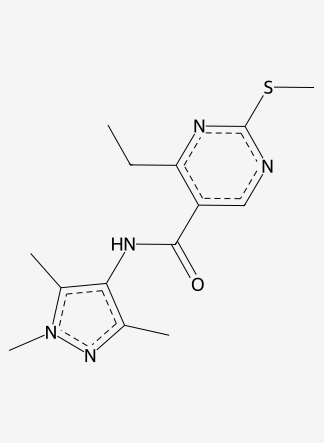 CCc1nc(SC)ncc1C(=O)Nc1c(C)nn(C)c1C